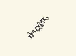 Cn1ccnc1SC[C@H]1CCN(S(=O)(=O)c2ccc(Cl)s2)C[C@@H]1F